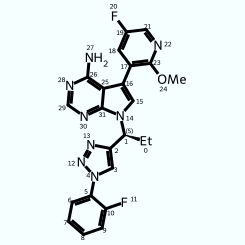 CC[C@@H](c1cn(-c2ccccc2F)nn1)n1cc(-c2cc(F)cnc2OC)c2c(N)ncnc21